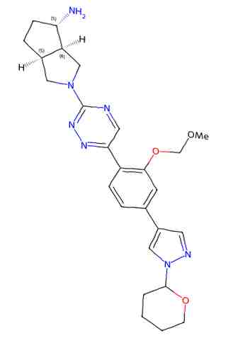 COCOc1cc(-c2cnn(C3CCCCO3)c2)ccc1-c1cnc(N2C[C@H]3CC[C@H](N)[C@H]3C2)nn1